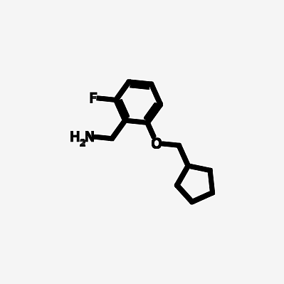 NCc1c(F)cccc1OCC1CCCC1